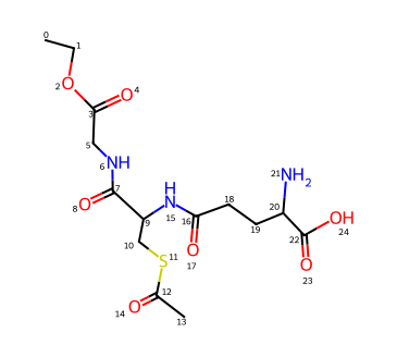 CCOC(=O)CNC(=O)C(CSC(C)=O)NC(=O)CCC(N)C(=O)O